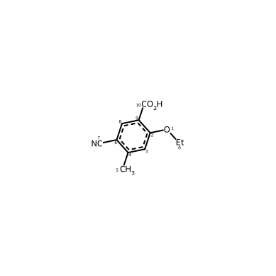 CCOc1cc(C)c(C#N)cc1C(=O)O